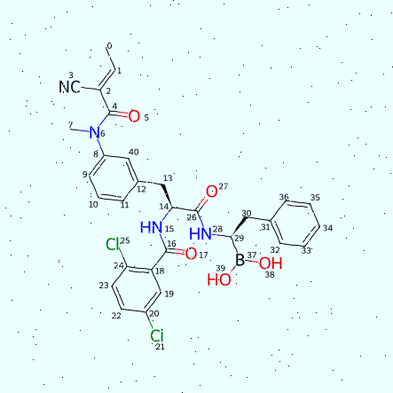 C/C=C(\C#N)C(=O)N(C)c1cccc(C[C@H](NC(=O)c2cc(Cl)ccc2Cl)C(=O)N[C@@H](Cc2ccccc2)B(O)O)c1